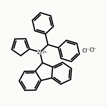 C1=CC[C]([Zr+2]([CH](c2ccccc2)c2ccccc2)[CH]2c3ccccc3-c3ccccc32)=C1.[Cl-].[Cl-]